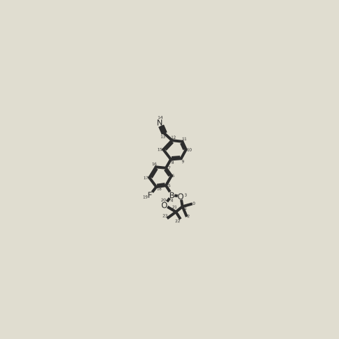 CC1(C)OB(c2cc(-c3cccc(C#N)c3)ccc2F)OC1(C)C